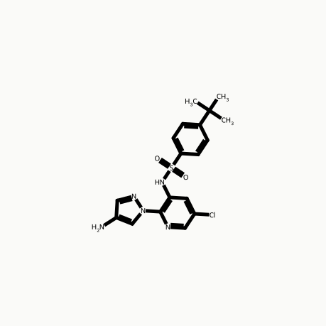 CC(C)(C)c1ccc(S(=O)(=O)Nc2cc(Cl)cnc2-n2cc(N)cn2)cc1